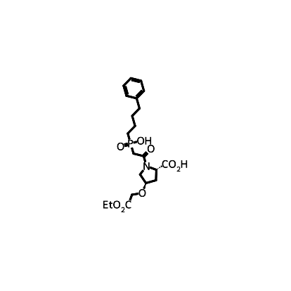 CCOC(=O)CO[C@@H]1C[C@@H](C(=O)O)N(C(=O)CP(=O)(O)CCCCc2ccccc2)C1